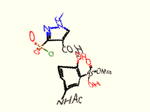 CO[As](=O)(O)c1cc(NC(C)=O)ccc1O.O=C(O)c1c[nH]nc1S(=O)(=O)Cl